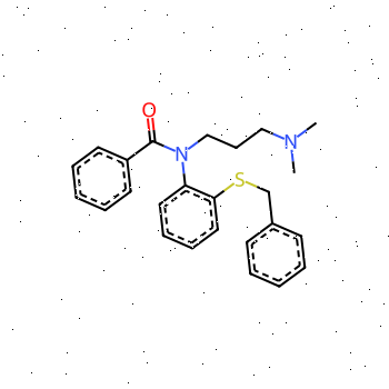 CN(C)CCCN(C(=O)c1ccccc1)c1ccccc1SCc1ccccc1